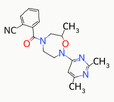 Cc1cc(N2CCN(C(=O)c3ccccc3C#N)CC(C)O2)nc(C)n1